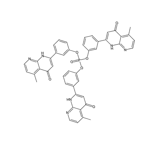 Cc1ccnc2[nH]c(-c3cccc(OP(=O)(Oc4cccc(-c5cc(=O)c6c(C)ccnc6[nH]5)c4)Oc4cccc(-c5cc(=O)c6c(C)ccnc6[nH]5)c4)c3)cc(=O)c12